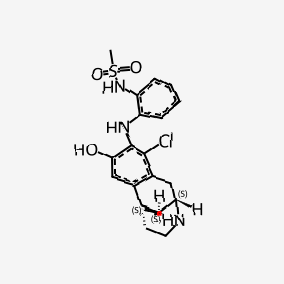 CS(=O)(=O)Nc1ccccc1Nc1c(O)cc2c(c1Cl)C[C@@H]1NCC[C@]23CCCC[C@H]13